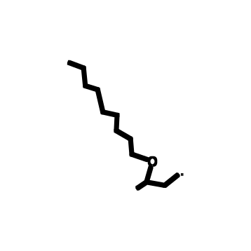 [CH2]CC(C)OCCCCCCCCC